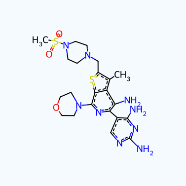 Cc1c(CN2CCN(S(C)(=O)=O)CC2)sc2c(N3CCOCC3)nc(-c3cnc(N)nc3N)c(N)c12